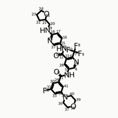 O=C(Nc1cnc(C(F)(F)F)c(C(=O)Nc2ccc(NCC3CCCO3)nc2)c1)c1cc(F)cc(N2CCOCC2)c1